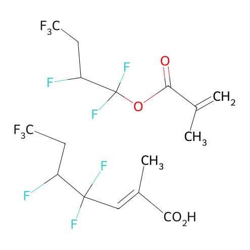 C=C(C)C(=O)OC(F)(F)C(F)CC(F)(F)F.CC(=CC(F)(F)C(F)CC(F)(F)F)C(=O)O